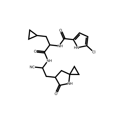 N#CC(CC1CC2(CC2)NC1=O)NC(=O)C(CC1CC1)NC(=O)c1ccc(Cl)[nH]1